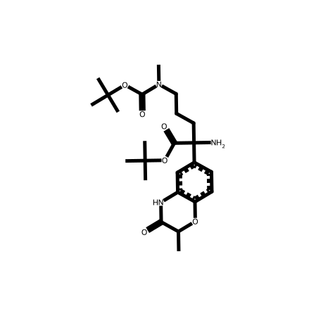 CC1Oc2ccc(C(N)(CCCN(C)C(=O)OC(C)(C)C)C(=O)OC(C)(C)C)cc2NC1=O